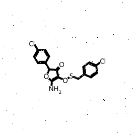 NC1=C(OSCc2ccc(Cl)cc2)C(=O)C(c2ccc(Cl)cc2)O1